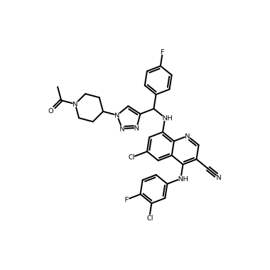 CC(=O)N1CCC(n2cc(C(Nc3cc(Cl)cc4c(Nc5ccc(F)c(Cl)c5)c(C#N)cnc34)c3ccc(F)cc3)nn2)CC1